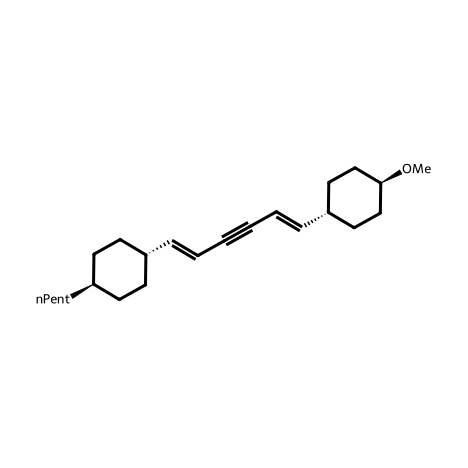 CCCCC[C@H]1CC[C@H](C=CC#CC=C[C@H]2CC[C@H](OC)CC2)CC1